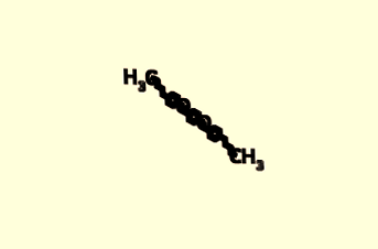 C/C=C/CCc1ccc(COc2ccc(COc3ccc(CC/C=C/C)cc3)cc2)cc1